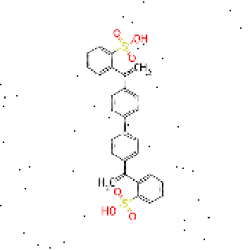 C=C(c1ccc(-c2ccc(C(=C)c3ccccc3S(=O)(=O)O)cc2)cc1)c1ccccc1S(=O)(=O)O